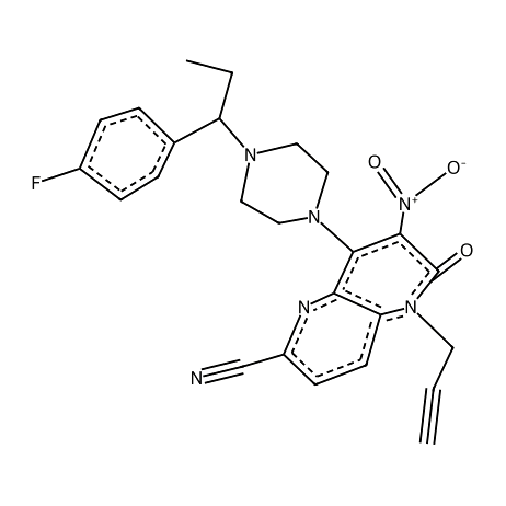 C#CCn1c(=O)c([N+](=O)[O-])c(N2CCN(C(CC)c3ccc(F)cc3)CC2)c2nc(C#N)ccc21